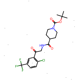 CC(C)(C)OC(=O)N1CCC(C(=O)NCC(=O)c2cc(C(F)(F)F)ccc2Cl)CC1